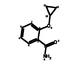 NC(=O)c1ccccc1OC1CC1